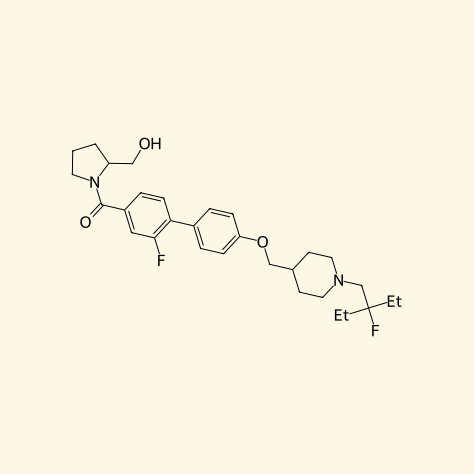 CCC(F)(CC)CN1CCC(COc2ccc(-c3ccc(C(=O)N4CCCC4CO)cc3F)cc2)CC1